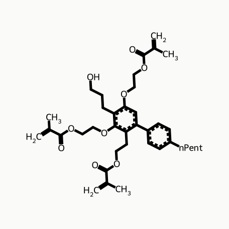 C=C(C)C(=O)OCCOc1cc(-c2ccc(CCCCC)cc2)c(CCOC(=O)C(=C)C)c(OCCOC(=O)C(=C)C)c1CCCO